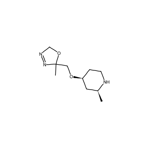 C[C@H]1C[C@@H](OCC2(C)N=NCO2)CCN1